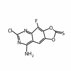 Nc1nc(Cl)nc2c(F)c3oc(=S)oc3cc12